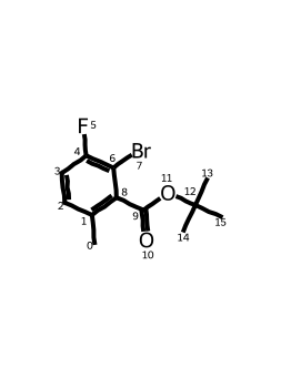 Cc1ccc(F)c(Br)c1C(=O)OC(C)(C)C